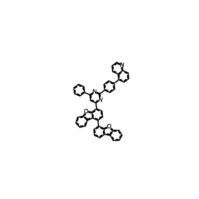 c1ccc(-c2cc(-c3ccc(-c4cccc5c4oc4ccccc45)c4c3oc3ccccc34)nc(-c3ccc(-c4cccc5ncccc45)cc3)n2)cc1